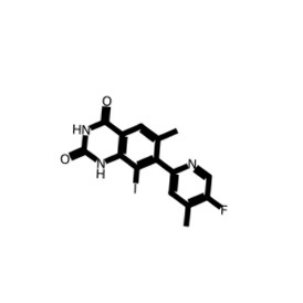 Cc1cc(-c2c(C)cc3c(=O)[nH]c(=O)[nH]c3c2I)ncc1F